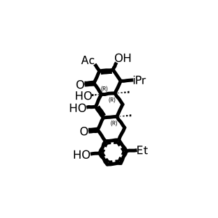 CCc1ccc(O)c2c1C[C@]1(C)C[C@]3(C)C(C(C)C)C(O)=C(C(C)=O)C(=O)[C@]3(O)C(O)=C1C2=O